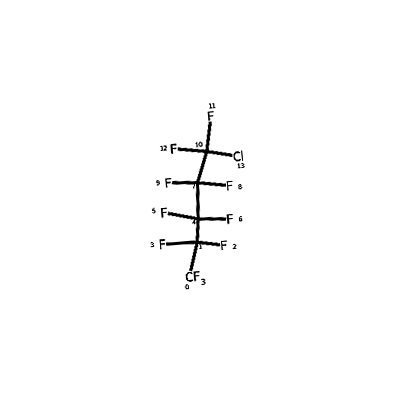 FC(F)(F)C(F)(F)C(F)(F)C(F)(F)C(F)(F)Cl